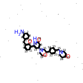 Nc1ccc2c(c1)Cc1cccc(-c3cc(N4CCOC(c5ccc(CN6CCC7OC7C6)cc5)C4)cc(=O)[nH]3)c1O2